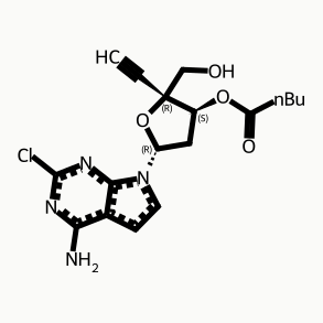 C#C[C@]1(CO)O[C@@H](n2ccc3c(N)nc(Cl)nc32)C[C@@H]1OC(=O)CCCC